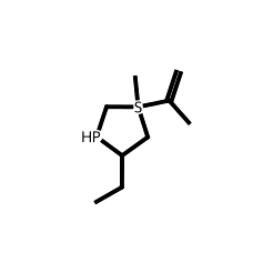 C=C(C)S1(C)CPC(CC)C1